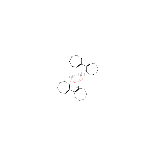 C1=C(C2=CCCCCC2)CCCCC1.CCCO[SiH](OCCC)C1=C(C2=CCCCCC2)CCCCC1